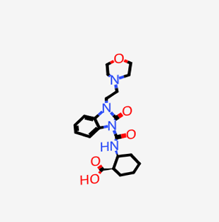 O=C(O)[C@@H]1CCCC[C@@H]1NC(=O)n1c(=O)n(CCN2CCOCC2)c2ccccc21